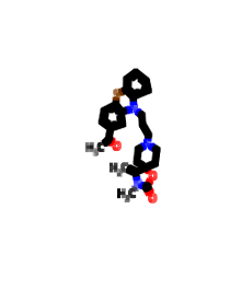 C=C1N(C)C(=O)OC12CCN(CCCN1c3ccccc3Sc3ccc(C(C)=O)cc31)CC2